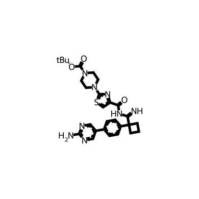 CC(C)(C)OC(=O)N1CCN(c2nc(C(=O)NC(=N)C3(c4ccc(-c5cnc(N)nc5)cc4)CCC3)cs2)CC1